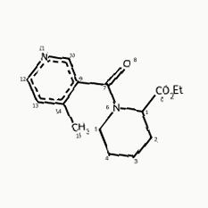 CCOC(=O)C1CCCCN1C(=O)c1cnccc1C